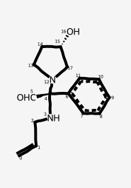 C=CCN[C@@](C=O)(c1ccccc1)N1CC[C@H](O)C1